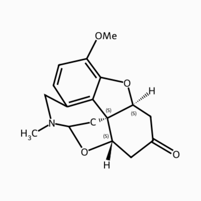 COc1ccc2c3c1O[C@H]1CC(=O)C[C@@H]4OC(C[C@]314)N(C)C2